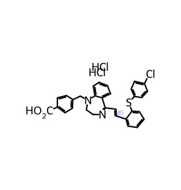 Cl.Cl.O=C(O)c1ccc(CN2CCN=C(/C=C/c3ccccc3Sc3ccc(Cl)cc3)c3ccccc32)cc1